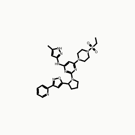 CCS(=O)(=O)N1CCN(c2cc(Nc3cc(C)[nH]n3)nc(N3CCCC3c3cc(-c4ccccn4)no3)n2)CC1